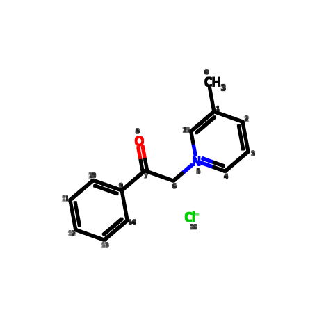 Cc1ccc[n+](CC(=O)c2ccccc2)c1.[Cl-]